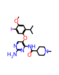 COc1cc(C(C)C)c(Oc2cnc(N)nc2NC(=O)C2CCN(C)CC2)cc1I